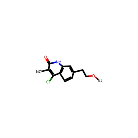 CCOCCc1ccc2c(Cl)c(C#N)c(=O)[nH]c2c1